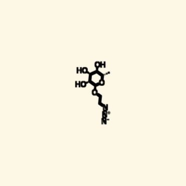 C[C@@H]1O[C@@H](OCCN=[N+]=[N-])[C@H](O)[C@H](O)[C@H]1O